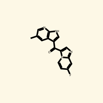 Cc1cnc2[nH]cc(C(=O)c3cnc4cc(F)ccn34)c2c1